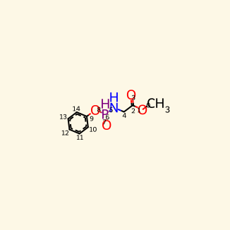 COC(=O)CN[PH](=O)Oc1ccccc1